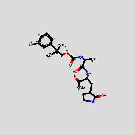 COC(=O)C(CC1CCNC1=O)NC(=O)C(NC(=O)OCC(C)(C)c1cccc(Cl)c1)C(C)(C)C